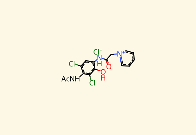 CC(=O)Nc1c(Cl)cc(NC(=O)C[n+]2ccccc2)c(O)c1Cl.[Cl-]